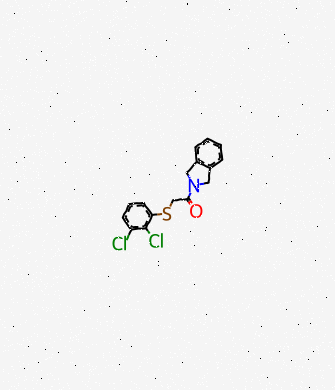 O=C(CSc1cccc(Cl)c1Cl)N1Cc2ccccc2C1